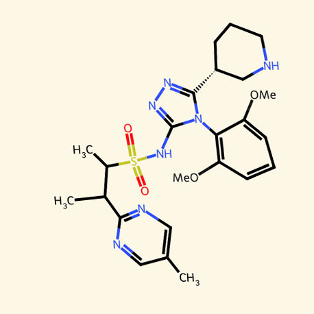 COc1cccc(OC)c1-n1c(NS(=O)(=O)C(C)C(C)c2ncc(C)cn2)nnc1[C@@H]1CCCNC1